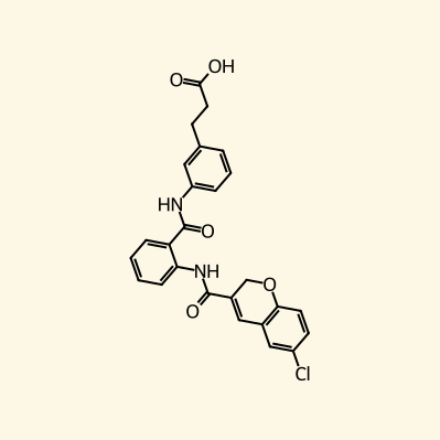 O=C(O)CCc1cccc(NC(=O)c2ccccc2NC(=O)C2=Cc3cc(Cl)ccc3OC2)c1